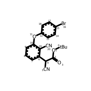 CC(C)(C)OC(=O)C(C#N)c1cccc(Oc2ccc(Br)cc2)c1C#N